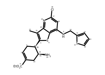 CCOC(=O)C1=CC[C@@H](c2sc3c(NCc4cccs4)cc(Cl)nc3c2C)[C@@H](N)C1